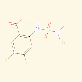 CN(C)S(=O)(=O)Nc1cc(F)c(F)cc1C(=O)O